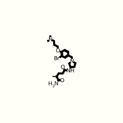 C[C@@H](C[CH]C(=O)N[C@H]1CCN(Cc2ccc(OCCCN(C)C)c(Br)c2)C1)C(N)=O